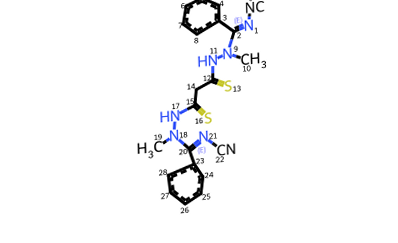 [C-]#[N+]/N=C(\c1ccccc1)N(C)NC(=S)CC(=S)NN(C)/C(=N/C#N)c1ccccc1